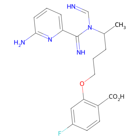 CC(CCCOc1cc(F)ccc1C(=O)O)N(C=N)C(=N)c1cccc(N)n1